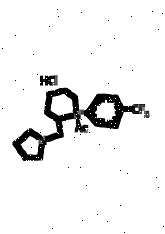 CC(=O)[N@@+]1(c2ccc(C(F)(F)F)cc2)CCCCC1CN1CCCC1.Cl